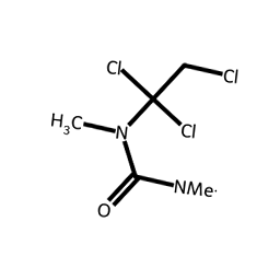 C[N]C(=O)N(C)C(Cl)(Cl)CCl